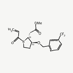 C=CC(=O)N1CC[C@H](OCc2cccc(C(F)(F)F)c2)[C@H]1CC(=O)OC